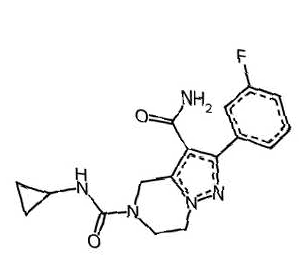 NC(=O)c1c(-c2cccc(F)c2)nn2c1CN(C(=O)NC1CC1)CC2